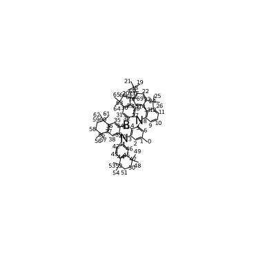 Cc1cc2c3c(c1)N(c1cccc4c1-c1ccc(C(C)(C)C)cc1C4(C)C)c1cc4c(cc1B3c1cc3c(cc1N2c1ccc2c(c1)C(C)(C)CCC2(C)C)C(C)(C)CCC3(C)C)C(C)(C)CC4(C)C